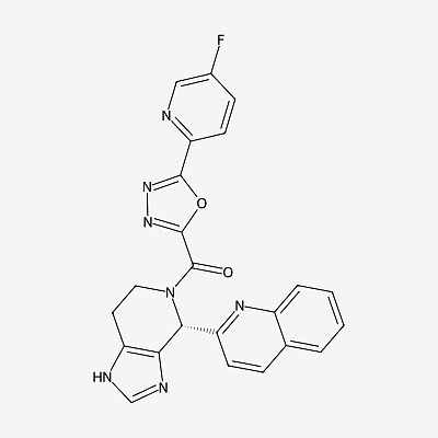 O=C(c1nnc(-c2ccc(F)cn2)o1)N1CCc2[nH]cnc2[C@H]1c1ccc2ccccc2n1